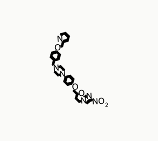 O=[N+]([O-])c1cn2c(n1)OC(COc1ccc(N3CCN(Cc4ccc(OCc5ccccn5)cc4)CC3)cc1)CC2